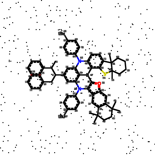 CC(c1ccccc1)C(Cc1ccccc1)c1cc2c3c(c1)N(c1ccc(C(C)(C)C)cc1)c1c(oc4cc5c(cc14)C(C)(C)CCC5(C)C)B3c1c(ccc3c1SC1(C)CCCCC31C)N2c1ccc(C(C)(C)C)cc1